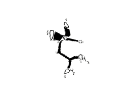 C[C](C)CS(=O)(=O)Cl